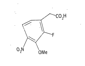 COc1c([N+](=O)[O-])ccc(CC(=O)O)c1F